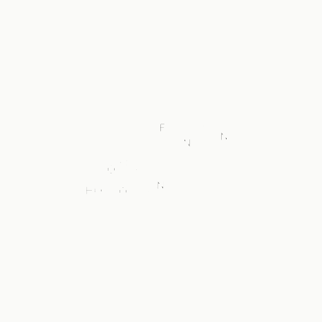 O=C(O)Oc1cn(C2CC2)c2cc(N3CC4CCNC4C3)c(F)cc2c1=O